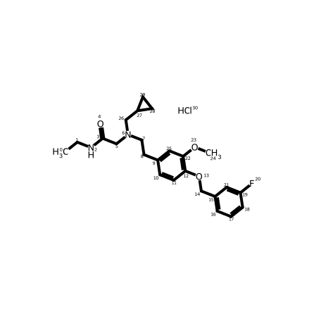 CCNC(=O)CN(CCc1ccc(OCc2cccc(F)c2)c(OC)c1)CC1CC1.Cl